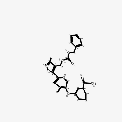 Cc1cc(-c2onc(C)c2CNC(=O)OCc2ccccc2)ncc1OC1CCCC(C(=O)O)C1